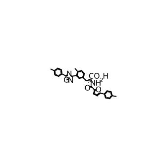 Cc1ccc(-c2ccc(C(=O)N[C@H](Cc3ccc(C)c(-c4noc(-c5ccc(C)cc5)n4)c3)C(=O)O)o2)cc1